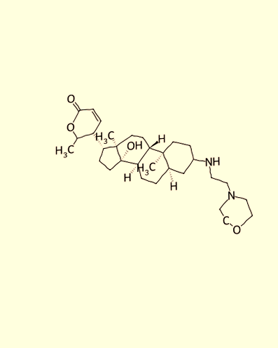 CC1OC(=O)C=CC1[C@H]1CC[C@]2(O)[C@@H]3CC[C@@H]4CC(NCCN5CCOCC5)CC[C@]4(C)[C@H]3CC[C@]12C